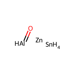 [O]=[AlH].[SnH4].[Zn]